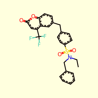 CCN(Cc1ccccc1)S(=O)(=O)c1ccc(Cc2ccc3oc(=O)cc(C(F)(F)F)c3c2)cc1